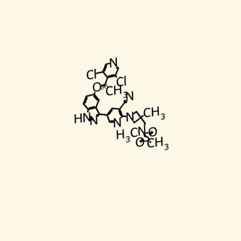 C[C@@H](Oc1ccc2[nH]nc(-c3cnc(N4CC(C)(CN(C)S(C)(=O)=O)C4)c(C#N)c3)c2c1)c1c(Cl)cncc1Cl